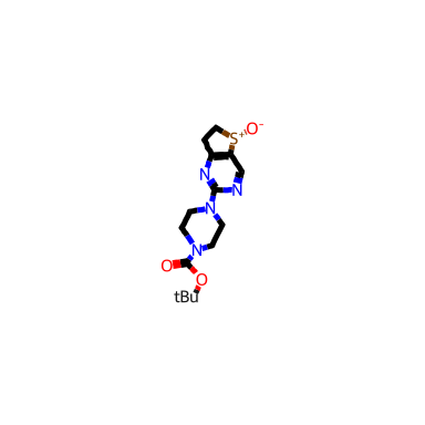 CC(C)(C)OC(=O)N1CCN(c2ncc3c(n2)CC[S+]3[O-])CC1